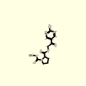 CC(C)(C)OC(=O)N1CCCC1C(=O)OCC(=O)c1cnc(Cl)nc1